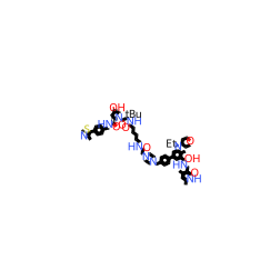 CCN(c1cc(-c2ccc(CN3CCN(CC(=O)NCCCCCC(=O)NC(C(=O)N4C[C@H](O)C[C@H]4C(=O)NCc4ccc(-c5scnc5C)cc4)C(C)(C)C)CC3)cc2)cc(C(O)NCc2c(C)cc(C)[nH]c2=O)c1C)C1CCOCC1